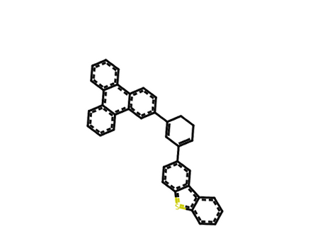 C1=C(c2ccc3sc4ccccc4c3c2)C=C(c2ccc3c4ccccc4c4ccccc4c3c2)CC1